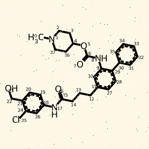 CN1CCC(OC(=O)Nc2cc(CCCC(=O)Nc3ccc(CO)c(Cl)c3)ccc2-c2ccccc2)CC1